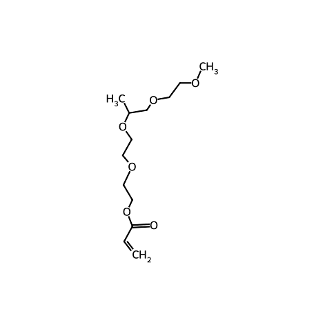 C=CC(=O)OCCOCCOC(C)COCCOC